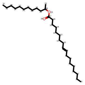 CCCCCCCCC=CCCCCCCCC(=O)OC(C)CCCCCCCCCC